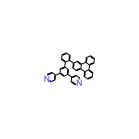 c1ccc(-c2ccc3c4ccccc4c4ccccc4c3c2)c(-c2cc(-c3ccncc3)cc(-c3ccncc3)c2)c1